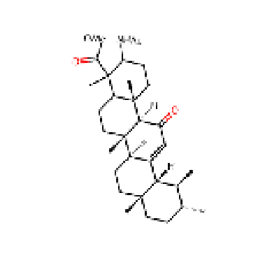 COC(=O)C1(C)C(NC(C)=O)CC[C@@]2(C)C1CC[C@]1(C)[C@@H]2C(=O)C=C2[C@@H]3[C@@H](C)[C@H](C)CC[C@]3(C)CC[C@]21C